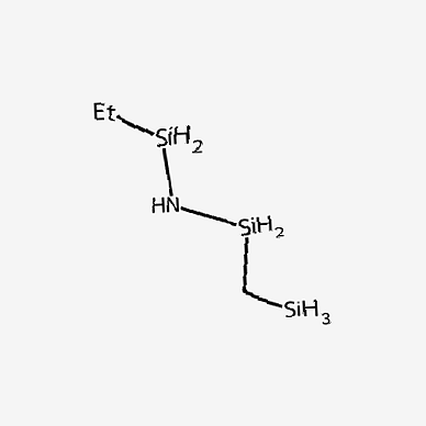 CC[SiH2]N[SiH2]C[SiH3]